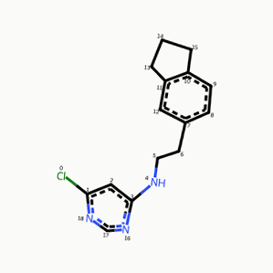 Clc1cc(NCCc2ccc3c(c2)CCC3)ncn1